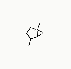 CC1CC[PH]2(C)OC12